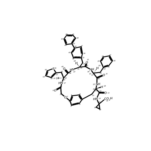 O=C1COc2ccc(cc2)C[C@@H](C(=O)NC2(C(=O)O)CC2)NC(=O)[C@H](Cc2ccccc2)NC(=O)[C@H](Cc2ccc(-c3ccccc3)cc2)NC(=O)[C@H](Cc2cccs2)N1